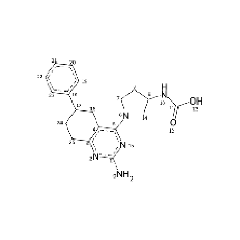 Nc1nc2c(c(N3CCC(NC(=O)O)C3)n1)CC(c1ccccc1)CC2